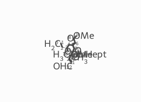 C=CC[C@@H]1C/C(=C\C(=O)OC)[C@H](OC(=O)CCCCCCC)[C@](OC)(C(C)(C)/C=C/C=O)O1